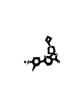 Cc1ccc(-c2ccc3c(n2)C2(CCN(C4CCC4)CC2)OC3=O)cc1F